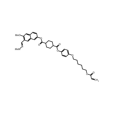 C=CC(=O)OCCCCCCOc1ccc(OC(=O)C2CCC(C(=O)Oc3ccc4cc(OC)c(/C=N/NC)cc4c3)CC2)cc1